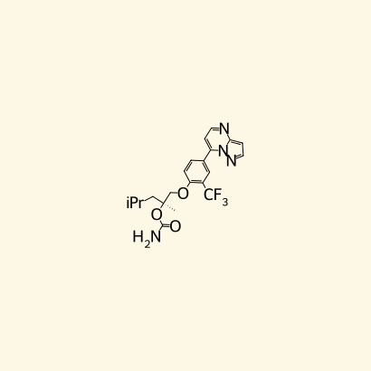 CC(C)C[C@@](C)(COc1ccc(-c2ccnc3ccnn23)cc1C(F)(F)F)OC(N)=O